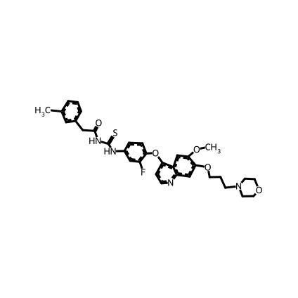 COc1cc2c(Oc3ccc(NC(=S)NC(=O)Cc4cccc(C)c4)cc3F)ccnc2cc1OCCCN1CCOCC1